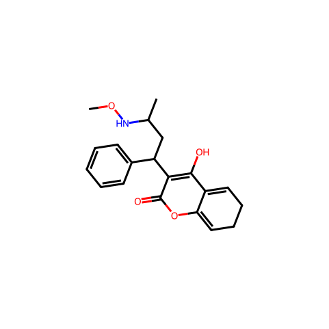 CONC(C)CC(c1ccccc1)c1c(O)c2c(oc1=O)=CCCC=2